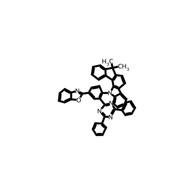 CC1(C)c2ccccc2-c2c1ccc1c3ccccc3n(-c3ccc(-c4nc5ccccc5o4)cc3-c3nc(-c4ccccc4)nc(-c4ccccc4)n3)c21